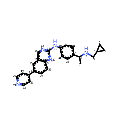 CC(NCC1CC1)c1ccc(Nc2ncc3cc(-c4ccncc4)ccc3n2)cc1